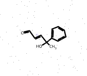 CC(O)(/C=C/C=O)c1ccccc1